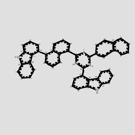 c1ccc2cc(-c3nc(-c4cccc5c(-c6cccc7oc8ccccc8c67)cccc45)nc(-c4cccc5oc6ccccc6c45)n3)ccc2c1